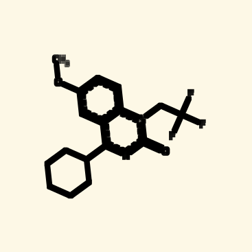 COc1ccc2c(c1)c(C1CCCCC1)nc(=O)n2CC(F)(F)F